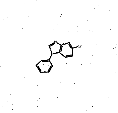 Brc1ccc2c(c1)ncn2-c1ccccc1